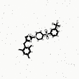 Cc1cc(C)c(Cc2csc(N3CCC(S(=O)(=O)c4cccc(C(F)(F)F)c4)CC3)n2)c(C)c1